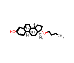 CCCCO[C@H]1CC[C@H]2[C@@H]3CC=C4C=C(O)C=C[C@@H]4[C@H]3CC[C@]12C